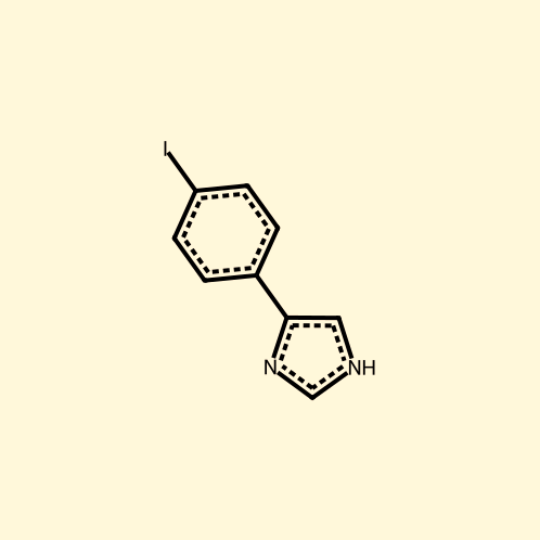 Ic1ccc(-c2c[nH]cn2)cc1